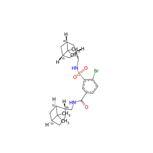 CC1(C)[C@@H]2C[C@@H](CNS(=O)(=O)c3cc(C(=O)NC[C@@H]4CC[C@H]5C[C@@H]4C5(C)C)ccc3Br)C[C@H]1C2